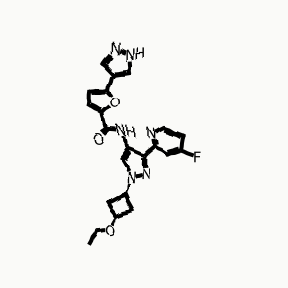 CCO[C@H]1C[C@@H](n2cc(NC(=O)c3ccc(-c4cn[nH]c4)o3)c(-c3cc(F)ccn3)n2)C1